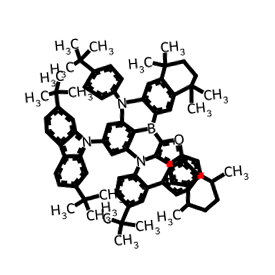 CC1CCC(C)c2cc3c4c(oc3cc21)B1c2cc3c(cc2N(c2ccc(C(C)(C)C)cc2)c2cc(-n5c6cc(C(C)(C)C)ccc6c6ccc(C(C)(C)C)cc65)cc(c21)N4c1ccc(C(C)(C)C)cc1-c1ccccc1)C(C)(C)CCC3(C)C